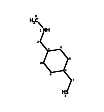 CNCC1CCC(CS)CC1